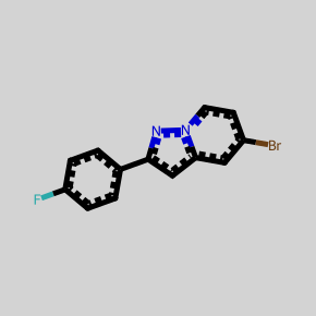 Fc1ccc(-c2cc3cc(Br)ccn3n2)cc1